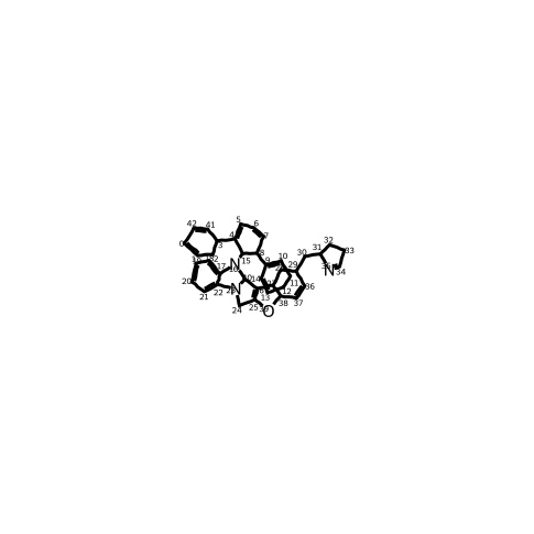 C1=CCC(C2=CC=CC(C3=CCCC=C3)C2N2c3ccccc3N3CC4=C(C5CC(CC6CCC=N6)C=CC5O4)C32)C=C1